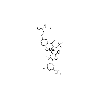 COc1ccc(CCC(N)=O)cc1C1=C(CN2C(=O)O[C@H](c3cc(C)cc(C(F)(F)F)c3)[C@@H]2C)CC(C)(C)CC1